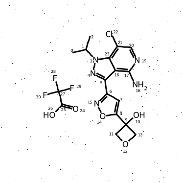 CC(C)n1nc(-c2cc(C3(O)COC3)on2)c2c(N)ncc(Cl)c21.O=C(O)C(F)(F)F